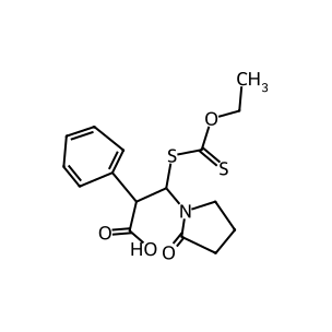 CCOC(=S)SC(C(C(=O)O)c1ccccc1)N1CCCC1=O